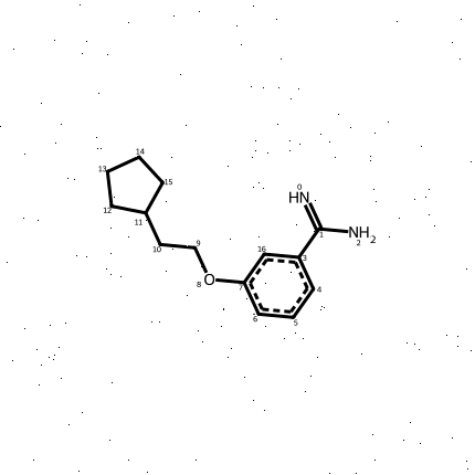 N=C(N)c1cc[c]c(OCCC2CCCC2)c1